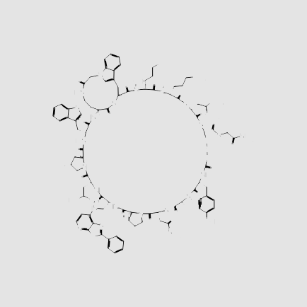 CCCC[C@H]1C(=O)N(C)[C@@H](CCCC)C(=O)N[C@@H](CC(C)C)C(=O)N[C@H](C(=O)NCC(N)=O)CSCC(=O)N[C@@H](Cc2ccc(O)cc2)C(=O)N(C)[C@@H](C)C(=O)N[C@@H](CC(N)=O)C(=O)N2CCC[C@H]2C(=O)N[C@@H](CNc2ccnc3oc(-c4ccccc4)nc23)C(=O)N[C@@H](CC(C)C)C(=O)N2C[C@H](O)C[C@H]2C(=O)N[C@@H](Cc2c[nH]c3ccccc23)C(=O)N[C@H]2CCNC(=O)Cn3cc(c4ccccc43)C[C@H](NC2=O)C(=O)N1C